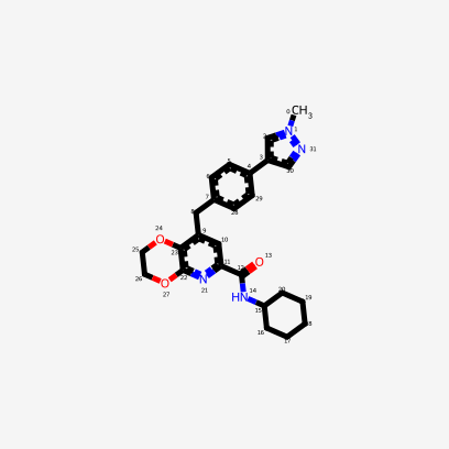 Cn1cc(-c2ccc(Cc3cc(C(=O)NC4CCCCC4)nc4c3OCCO4)cc2)cn1